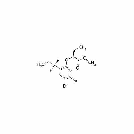 CC[C@H](Oc1cc(F)c(Br)cc1C(F)(F)CC)C(=O)OC